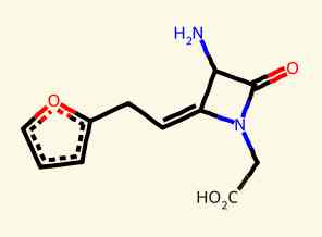 NC1C(=O)N(CC(=O)O)/C1=C/Cc1ccco1